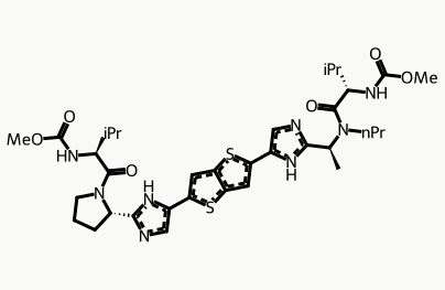 CCCN(C(=O)[C@@H](NC(=O)OC)C(C)C)[C@@H](C)c1ncc(-c2cc3sc(-c4cnc([C@@H]5CCCN5C(=O)[C@@H](NC(=O)OC)C(C)C)[nH]4)cc3s2)[nH]1